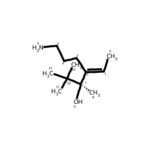 C/C=C(\CCCN)[C@@](C)(O)C(C)(C)C